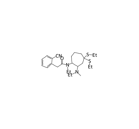 CCSC1(SCC)CCCC(N(CC)C(=O)Cc2ccccc2C#N)C(N(C)CC)C1